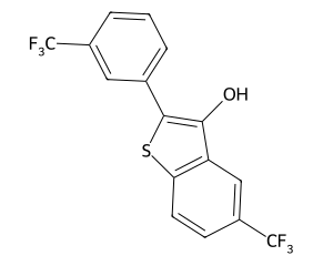 Oc1c(-c2cccc(C(F)(F)F)c2)sc2ccc(C(F)(F)F)cc12